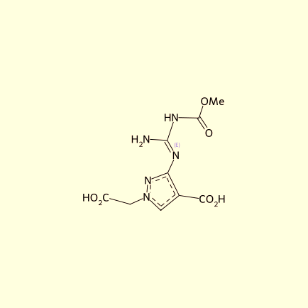 COC(=O)N/C(N)=N/c1nn(CC(=O)O)cc1C(=O)O